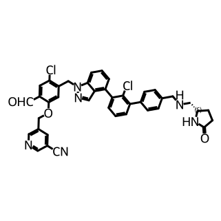 N#Cc1cncc(COc2cc(Cn3ncc4c(-c5cccc(-c6ccc(CNC[C@@H]7CCC(=O)N7)cc6)c5Cl)cccc43)c(Cl)cc2C=O)c1